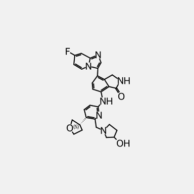 O=C1NCc2c(-c3cnc4cc(F)ccn34)ccc(Nc3ccc([C@@H]4CCOC4)c(CN4CCC(O)C4)n3)c21